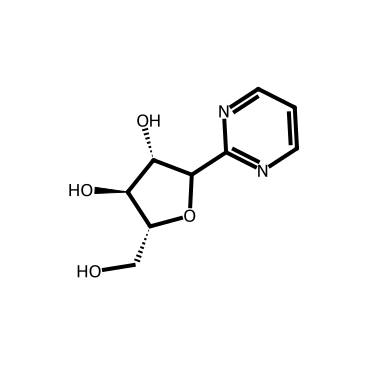 OC[C@H]1OC(c2ncccn2)[C@@H](O)[C@@H]1O